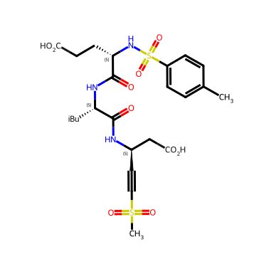 CCC(C)[C@H](NC(=O)[C@H](CCC(=O)O)NS(=O)(=O)c1ccc(C)cc1)C(=O)N[C@H](C#CS(C)(=O)=O)CC(=O)O